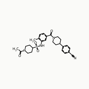 CC(=O)N1CCC(S(=O)(=O)Nc2cc(C(=O)N3CCC(c4ccc(C#N)cc4)CC3)ccc2C)CC1